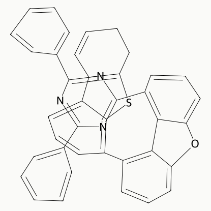 C1=Cc2c(sc3c(-c4cccc5oc6cccc(-c7nc(-c8ccccc8)nc(-c8ccccc8)n7)c6c45)cccc23)CC1